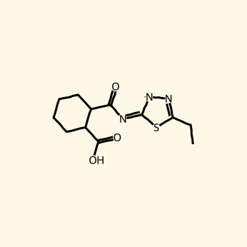 CCC1=N[N]C(=NC(=O)C2CCCCC2C(=O)O)S1